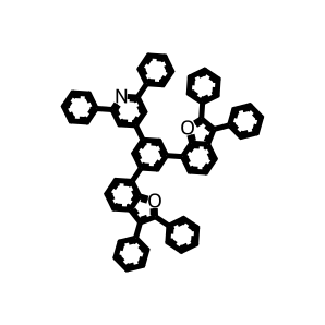 c1ccc(-c2cc(-c3cc(-c4cccc5c(-c6ccccc6)c(-c6ccccc6)oc45)cc(-c4cccc5c(-c6ccccc6)c(-c6ccccc6)oc45)c3)cc(-c3ccccc3)n2)cc1